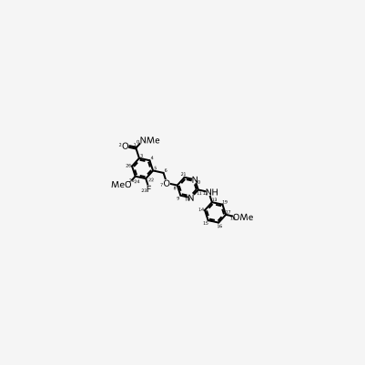 CNC(=O)c1cc(COc2cnc(Nc3cccc(OC)c3)nc2)c(F)c(OC)c1